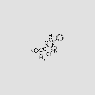 C[C@H](c1ccccc1)n1cnc(Cl)c1C(=O)OCC1(C)COC1